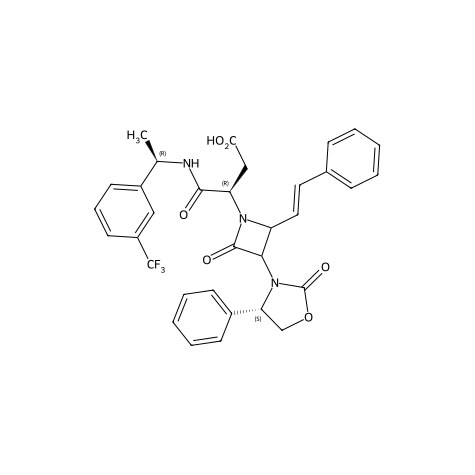 C[C@@H](NC(=O)[C@@H](CC(=O)O)N1C(=O)C(N2C(=O)OC[C@@H]2c2ccccc2)C1C=Cc1ccccc1)c1cccc(C(F)(F)F)c1